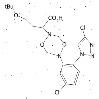 CC(C)(C)OCCC(C(=O)O)N1CON(c2cc(Cl)ccc2-n2cc(Cl)nn2)CO1